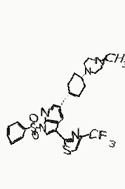 CN1CCN([C@H]2CC[C@@H](c3cnc4c(c3)c(-c3nc(C(F)(F)F)cs3)cn4S(=O)(=O)c3ccccc3)CC2)CC1